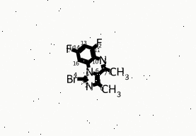 Cc1nc(Br)n2c1c(C)nc1c(F)cc(F)cc12